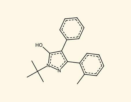 Cc1ccccc1-c1nn(C(C)(C)C)c(O)c1-c1ccccc1